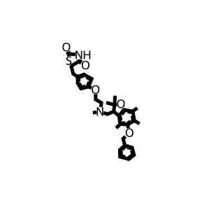 Cc1c(C)c2c(c(C)c1OCc1ccccc1)C(CN(C)CCOc1ccc(CC3SC(=O)NC3=O)cc1)C(C)(C)O2